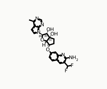 Cc1ncnc2c1ccn2[C@@H]1O[C@@H]2[C@@H](Oc3ccc4cc(C(F)F)c(N)nc4c3)CC[C@]2(O)[C@H]1O